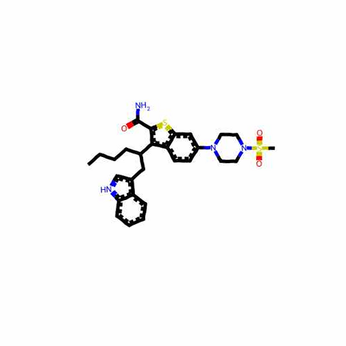 CCCCC(Cc1c[nH]c2ccccc12)c1c(C(N)=O)sc2cc(N3CCN(S(C)(=O)=O)CC3)ccc12